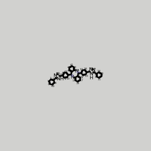 c1ccc(-c2nnc(-c3ccc(/C4=N/c5ccccc5/C(c5ccc(-c6nnc(-c7ccccc7)[nH]6)cc5)=N\c5ccccc54)cc3)[nH]2)cc1